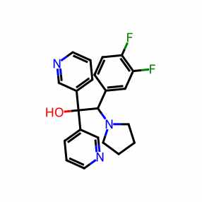 OC(c1cccnc1)(c1cccnc1)C(c1ccc(F)c(F)c1)N1CCCC1